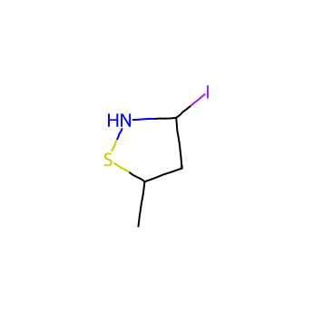 CC1CC(I)NS1